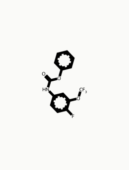 O=C(Nc1ccc(F)c(OC(F)(F)F)c1)Oc1ccccc1